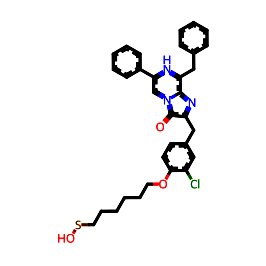 O=c1c(Cc2ccc(OCCCCCCSO)c(Cl)c2)nc2c(Cc3ccccc3)[nH]c(-c3ccccc3)cn1-2